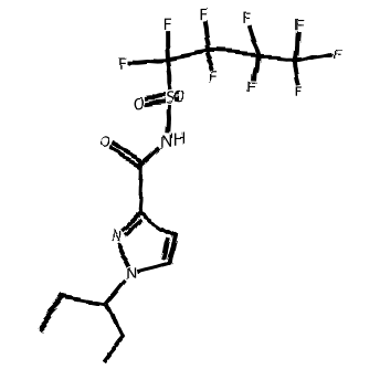 CCC(CC)n1ccc(C(=O)NS(=O)(=O)C(F)(F)C(F)(F)C(F)(F)C(F)(F)F)n1